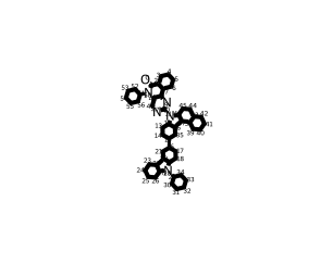 O=c1c2ccccc2c2nc(-n3c4ccc(-c5ccc6c(c5)c5ccccc5n6-c5ccccc5)cc4c4c5ccccc5ccc43)ncc2n1-c1ccccc1